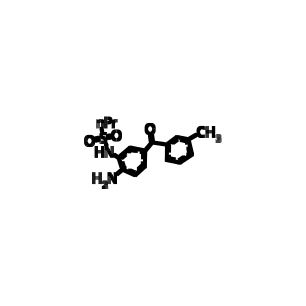 CCCS(=O)(=O)Nc1cc(C(=O)c2cccc(C)c2)ccc1N